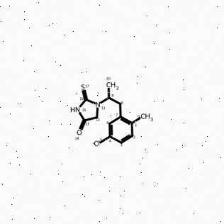 Cc1ccc(Cl)cc1CC(C)N1CC(=O)NC1=S